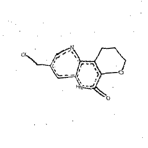 O=c1[nH]c2cc(CCl)cnc2c2c1OCCC2